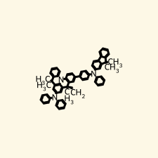 C=CC1(C)c2cc(-c3ccc(N(c4ccccc4)c4ccc5c(c4)C(C)(C)c4ccccc4-5)cc3)ccc2N2c3ccccc3C(C)(C)c3cc(N(c4ccccc4)c4ccccc4)cc1c32